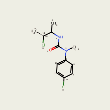 CC(NC(=O)N(C)c1ccc(Cl)cc1)[C@@H](C)Cl